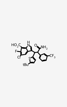 CC(C)(C)c1ccc(C(c2c[nH]c3c(C(=O)O)c(F)c(Cl)cc23)C(C(N)=O)c2cccc(C(F)(F)F)c2)s1